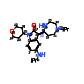 CC(C)Nc1ccc2c(c1)/C(=C1\CCN(C(C)C)CCN1)C(=O)N2C1CCOCC1